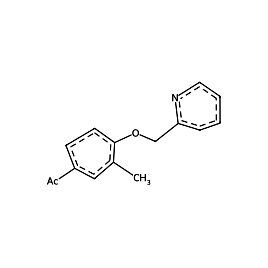 CC(=O)c1ccc(OCc2ccccn2)c(C)c1